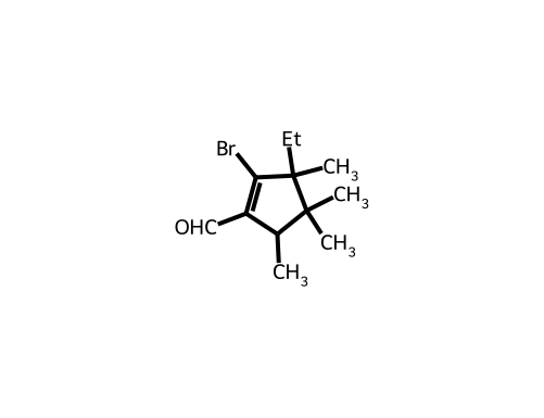 CCC1(C)C(Br)=C(C=O)C(C)C1(C)C